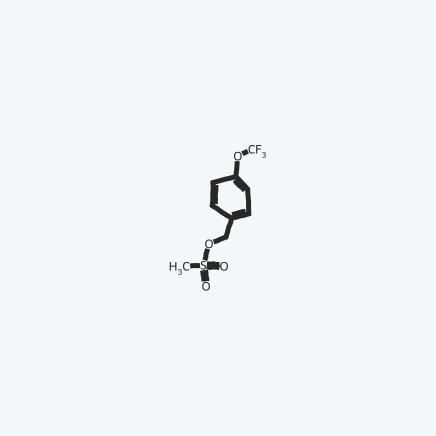 CS(=O)(=O)OCc1ccc(OC(F)(F)F)cc1